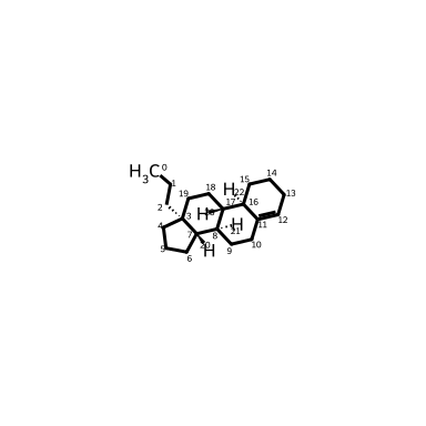 CCC[C@@]12CCC[C@H]1[C@@H]1CCC3=CCCC[C@@H]3[C@H]1CC2